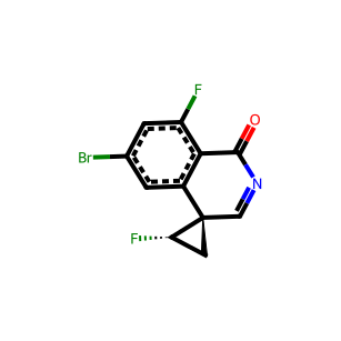 O=C1N=C[C@@]2(C[C@@H]2F)c2cc(Br)cc(F)c21